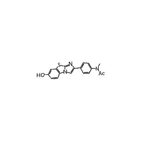 CC(=O)N(C)c1ccc(-c2cn3c(n2)sc2cc(O)ccc23)cc1